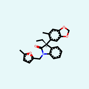 CC[C@]1(c2cc3c(cc2C)OCO3)C(=O)N(Cc2ccc(C)o2)c2ccccc21